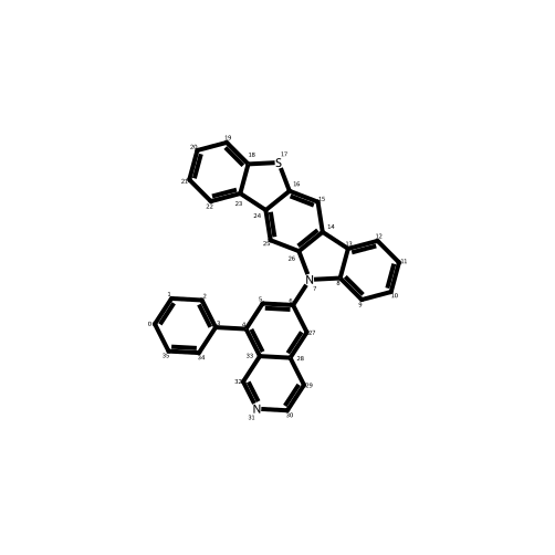 c1ccc(-c2cc(-n3c4ccccc4c4cc5sc6ccccc6c5cc43)cc3ccncc23)cc1